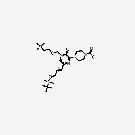 CC(C)(C)[Si](C)(C)OC/C=C/c1cn(COCC[Si](C)(C)C)c(=O)c(N2CCN(C(=O)O)CC2)n1